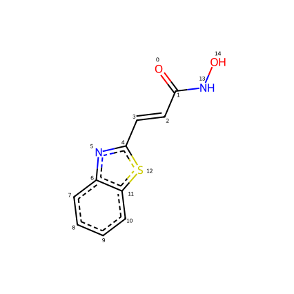 O=C(/C=C/c1nc2ccccc2s1)NO